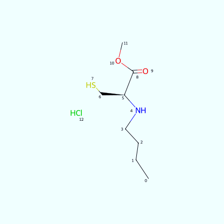 CCCCN[C@@H](CS)C(=O)OC.Cl